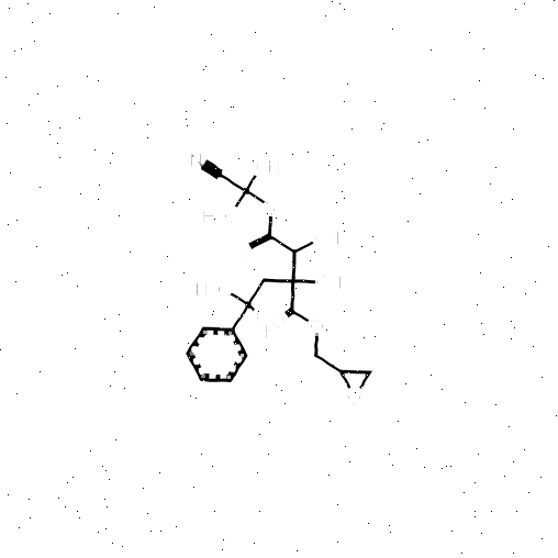 CC(C(=S)SC(C)(C)C#N)C(C)(CC(C)(C)c1ccccc1)C(=O)OCC1CO1